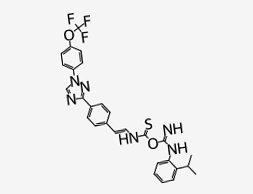 CC(C)c1ccccc1NC(=N)OC(=S)N/C=C/c1ccc(-c2ncn(-c3ccc(OC(F)(F)F)cc3)n2)cc1